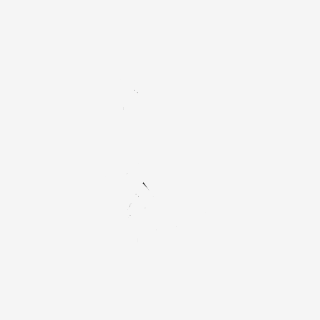 CNC(=O)c1cccc(C(=O)N2CCC3(C)c4cccc(O)c4C[C@@H]2C3(C)C)c1